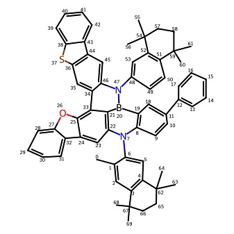 Cc1cc2c(cc1N1c3ccc(-c4ccccc4)cc3B3c4c1cc1c(oc5ccccc51)c4-c1cc4sc5ccccc5c4cc1N3c1ccc3c(c1)C(C)(C)CCC3(C)C)C(C)(C)CCC2(C)C